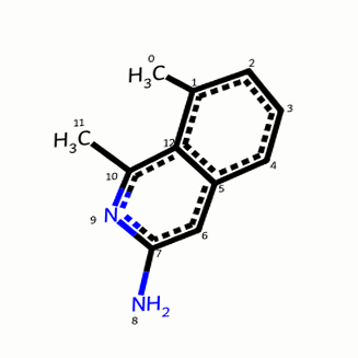 Cc1cccc2cc(N)nc(C)c12